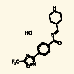 Cl.O=C(N=CC1CCNCC1)c1ccc(-c2noc(C(F)(F)F)n2)cc1